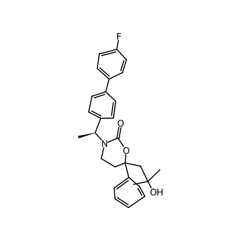 C[C@@H](c1ccc(-c2ccc(F)cc2)cc1)N1CCC(CC(C)(C)O)(c2ccccc2)OC1=O